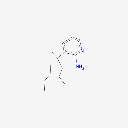 CCCCC(C)(CCC)c1cccnc1N